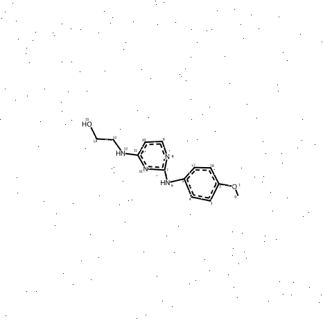 COc1ccc(Nc2nccc(NCCO)n2)cc1